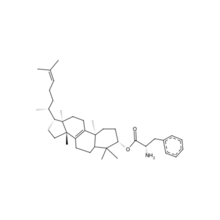 CC(C)=CCC[C@@H](C)[C@H]1CC[C@@]2(C)C3=C(CC[C@]12C)[C@@]1(C)CC[C@H](OC(=O)[C@@H](N)Cc2ccccc2)C(C)(C)C1CC3